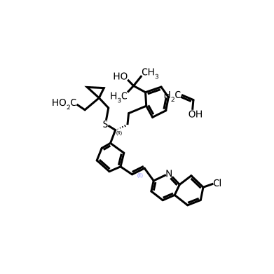 C=CO.CC(C)(O)c1ccccc1CC[C@@H](SCC1(CC(=O)O)CC1)c1cccc(/C=C/c2ccc3ccc(Cl)cc3n2)c1